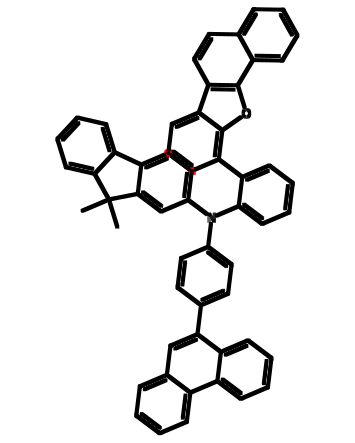 CC1(C)c2ccccc2-c2ccc(N(c3ccc(-c4cc5ccccc5c5ccccc45)cc3)c3ccccc3-c3cccc4c3oc3c5ccccc5ccc43)cc21